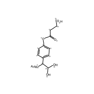 CC(=O)NC(c1ccc(OC(=O)CCS(=O)(=O)O)cc1)C(O)O